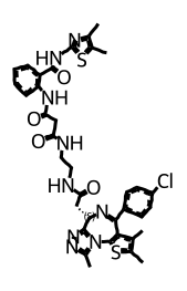 Cc1nc(NC(=O)c2ccccc2NC(=O)CC(=O)NCCNC(=O)C[C@@H]2N=C(c3ccc(Cl)cc3)c3c(sc(C)c3C)-n3c(C)nnc32)sc1C